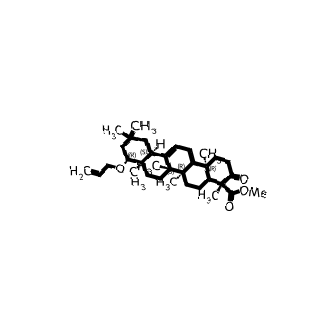 C=CCO[C@@H]1CC(C)(C)C[C@H]2C3=CCC4[C@@]5(C)CCC(=O)[C@](C)(C(=O)OC)C5CC[C@@]4(C)[C@]3(C)CC[C@@]12C